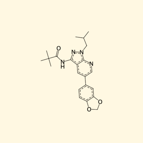 CC(C)Cn1nc(NC(=O)C(C)(C)C)c2cc(-c3ccc4c(c3)OCO4)cnc21